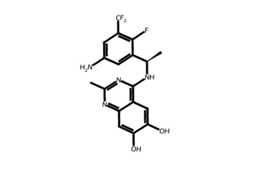 Cc1nc(N[C@H](C)c2cc(N)cc(C(F)(F)F)c2F)c2cc(O)c(O)cc2n1